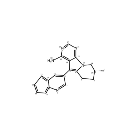 C[C@@H]1CCc2c(-c3cnc4ccccc4c3)c3c(N)ncnc3n2C1